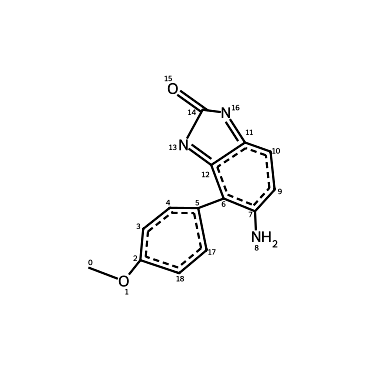 COc1ccc(-c2c(N)ccc3c2=NC(=O)N=3)cc1